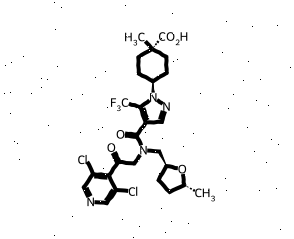 C[C@@H]1CC[C@@H](CN(CC(=O)c2c(Cl)cncc2Cl)C(=O)c2cnn([C@H]3CC[C@](C)(C(=O)O)CC3)c2C(F)(F)F)O1